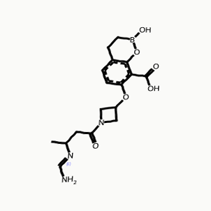 CC(CC(=O)N1CC(Oc2ccc3c(c2C(=O)O)OB(O)CC3)C1)/N=C/N